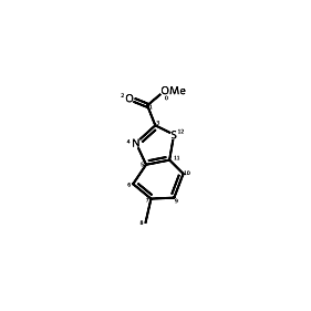 COC(=O)c1nc2cc(C)ccc2s1